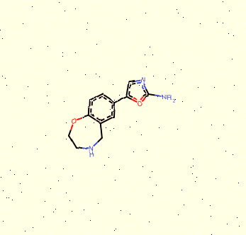 Nc1ncc(-c2ccc3c(c2)CNCCO3)o1